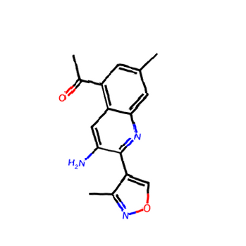 CC(=O)c1cc(C)cc2nc(-c3conc3C)c(N)cc12